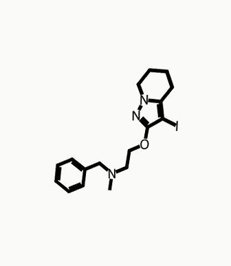 CN(CCOc1nn2c(c1I)CCCC2)Cc1ccccc1